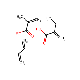 C=C(C)C(=O)O.C=C(CC)C(=O)O.C=CC=C